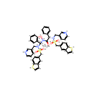 O=C([C@H](c1ccccc1)N(Cc1cccnc1)S(=O)(=O)Cc1ccc2sccc2c1)N(O)[C@](C(=O)O)(c1ccccc1)N(Cc1cccnc1)S(=O)(=O)Cc1ccc2sccc2c1